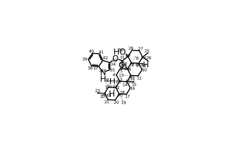 C[C@@H]1[C@H]2[C@H]3CC[C@@H]4[C@]5(C)[C@@H](CC[C@@]4(C)[C@]3(C)CC[C@@]2(C)CC[C@H]1C)C(C)(C)CCC5(O)C(=O)Oc1c[nH]c2ccccc12